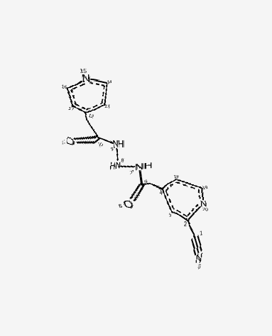 N#Cc1cc(C(=O)NNNC(=O)c2ccncc2)ccn1